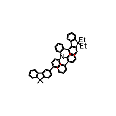 CCC1(CC)c2ccccc2-c2c(-c3ccccc3N(c3ccc(-c4ccc5c(c4)-c4ccccc4C5(C)C)cc3)c3ccccc3-c3ccccc3)cccc21